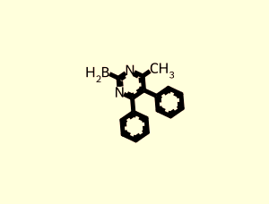 Bc1nc(C)c(-c2ccccc2)c(-c2ccccc2)n1